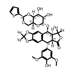 [2H]C1([2H])Oc2cc3c(cc2O1)[C@@H](O[C@@H]1O[C@@H]2CO[C@@H](c4cccs4)O[C@H]2[C@H](O)[C@H]1O)[C@@H]1[C@H](C(=O)OC1([2H])[2H])[C@@H]3c1cc(OC)c(O)c(OC)c1